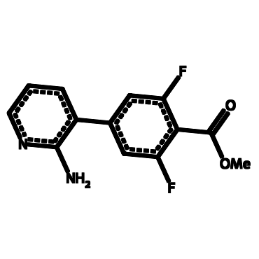 COC(=O)c1c(F)cc(-c2cccnc2N)cc1F